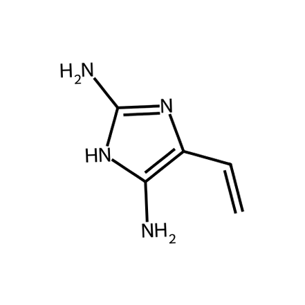 C=Cc1nc(N)[nH]c1N